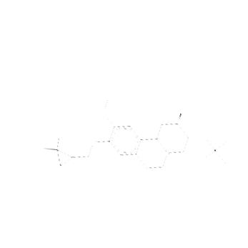 COc1cc2c(cc1OCC1CC1(F)F)CCN1C[C@@H](CC(C)(C)C)[C@H](O)C[C@H]21